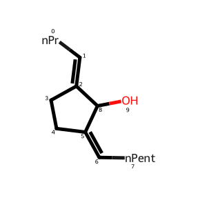 CCC/C=C1\CC/C(=C/CCCCC)C1O